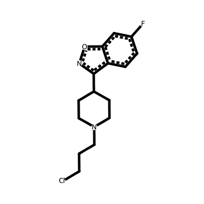 Fc1ccc2c(C3CCN(CCCCl)CC3)noc2c1